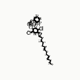 CCCCCCCCCCCCCCOc1cc(Cl)c(OP(=O)(O)Oc2[c]cccc2)cc1Cl